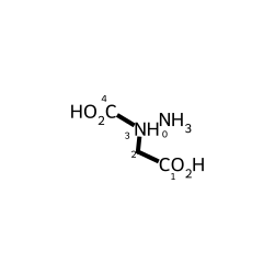 N.O=C(O)CNC(=O)O